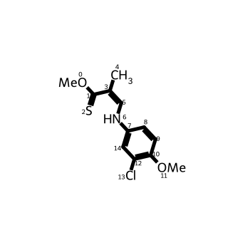 COC(=S)C(C)=CNc1ccc(OC)c(Cl)c1